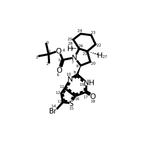 CC(C)(C)OC(=O)N1[C@H](c2nc3cc(Br)sc3c(=O)[nH]2)C[C@@H]2CCCC[C@@H]21